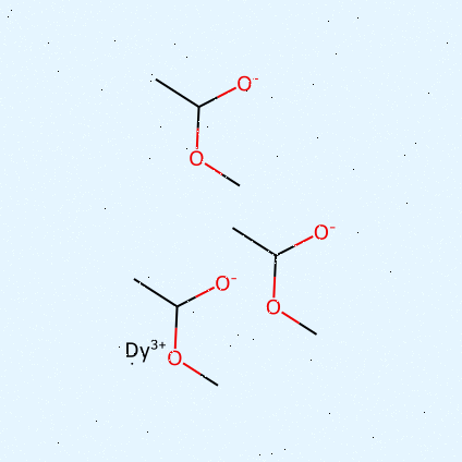 COC(C)[O-].COC(C)[O-].COC(C)[O-].[Dy+3]